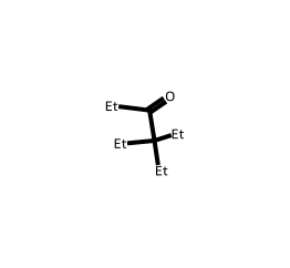 CCC(=O)C(CC)(CC)CC